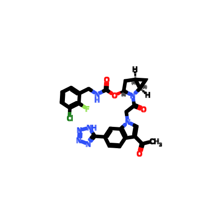 CC(=O)c1cn(CC(=O)N2[C@@H](OC(=O)NCc3cccc(Cl)c3F)C[C@H]3C[C@H]32)c2cc(-c3nnn[nH]3)ccc12